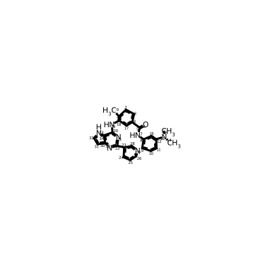 Cc1ccc(C(=O)Nc2cccc(N(C)C)c2)cc1Nc1nc(-c2cccnc2)nc2cc[nH]c12